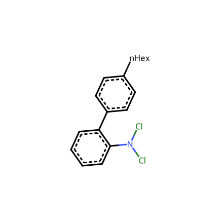 CCCCCCc1ccc(-c2ccccc2N(Cl)Cl)cc1